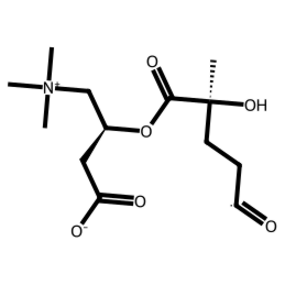 C[C@](O)(CC[C]=O)C(=O)O[C@@H](CC(=O)[O-])C[N+](C)(C)C